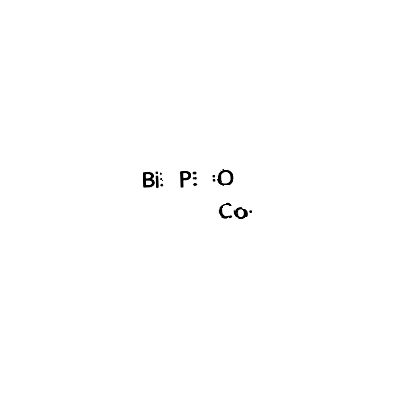 [Bi].[Co].[O].[P]